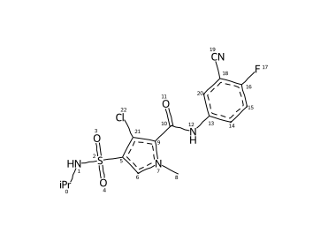 CC(C)NS(=O)(=O)c1cn(C)c(C(=O)Nc2ccc(F)c(C#N)c2)c1Cl